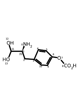 N[C@@H](Cc1ccc(OC(=O)O)cc1)C(O)O